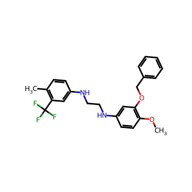 COc1ccc(NCCNc2ccc(C)c(C(F)(F)F)c2)cc1OCc1ccccc1